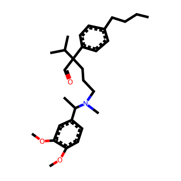 CCCCc1ccc(C(C=O)(CCCN(C)C(C)c2ccc(OC)c(OC)c2)C(C)C)cc1